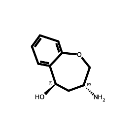 N[C@H]1COc2ccccc2[C@H](O)C1